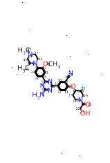 COc1cc(-c2nc(N)nc(-c3ccc(O[C@H]4CCN(C(=O)CO)C[C@H]4F)c(C#N)c3)n2)ccc1N1CCN(C)CC1C